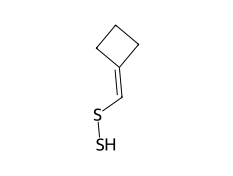 SSC=C1CCC1